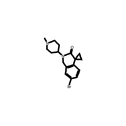 CN1CCC(N2Cc3cc(Br)ccc3C3(CC3)C2=O)CC1